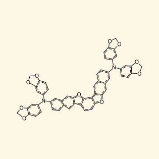 c1cc2c(cc1N(c1ccc3c(c1)OCO3)c1ccc3cc4c(cc3c1)oc1c4ccc3oc4cc5cc(N(c6ccc7c(c6)OCO7)c6ccc7c(c6)OCO7)ccc5cc4c31)OCO2